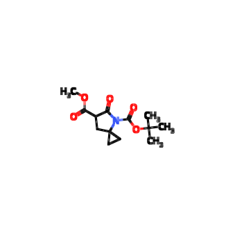 COC(=O)C1CC2(CC2)N(C(=O)OC(C)(C)C)C1=O